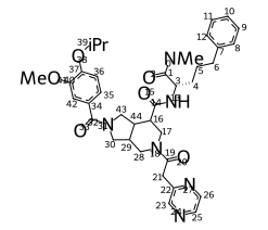 CNC(=O)[C@H](CCCc1ccccc1)NC(=O)C1CN(C(=O)Cc2cnccn2)CC2CN(C(=O)c3ccc(OC(C)C)c(OC)c3)CC21